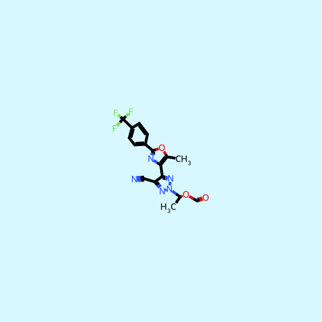 Cc1oc(-c2ccc(C(F)(F)F)cc2)nc1-c1nn(C(C)OC=O)nc1C#N